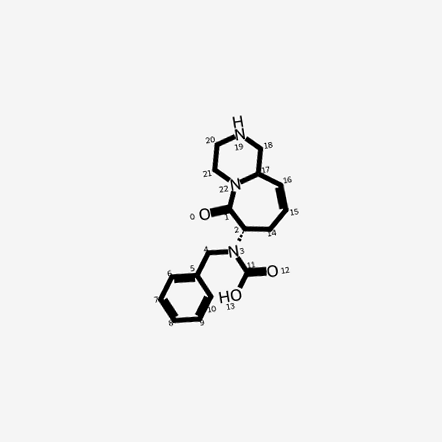 O=C1[C@@H](N(Cc2ccccc2)C(=O)O)CC=CC2CNCCN12